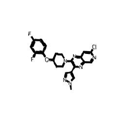 Cn1cc(-c2nc3cnc(Cl)cc3nc2N2CCC(Oc3ccc(F)cc3F)CC2)cn1